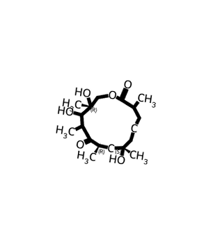 CC1CCC[C@](C)(O)C[C@@H](C)C(=O)C(C)C(O)[C@](C)(O)COC1=O